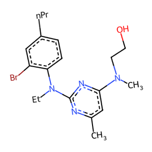 CCCc1ccc(N(CC)c2nc(C)cc(N(C)CCO)n2)c(Br)c1